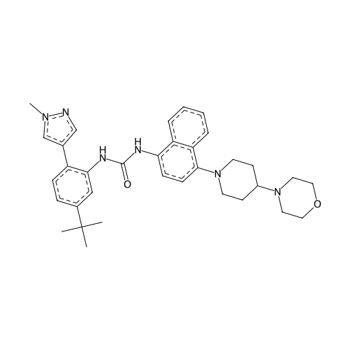 Cn1cc(-c2ccc(C(C)(C)C)cc2NC(=O)Nc2ccc(N3CCC(N4CCOCC4)CC3)c3ccccc23)cn1